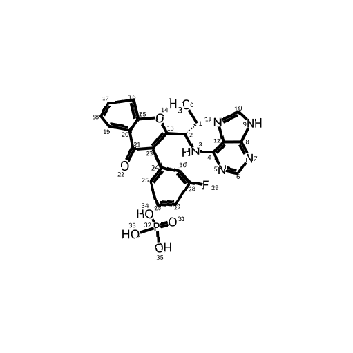 CC[C@H](Nc1ncnc2[nH]cnc12)c1oc2ccccc2c(=O)c1-c1cccc(F)c1.O=P(O)(O)O